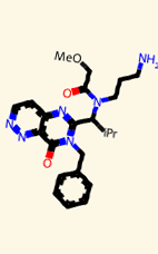 COCC(=O)N(CCCN)C(c1nc2ccnnc2c(=O)n1Cc1ccccc1)C(C)C